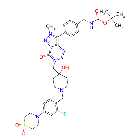 Cn1nc2c(=O)n(CC3(O)CCN(Cc4ccc(N5CCS(=O)(=O)CC5)cc4F)CC3)cnc2c1-c1ccc(CNC(=O)OC(C)(C)C)cc1